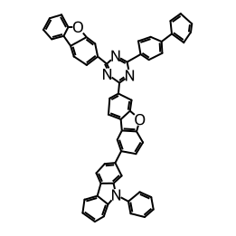 c1ccc(-c2ccc(-c3nc(-c4ccc5c(c4)oc4ccccc45)nc(-c4ccc5c(c4)oc4ccc(-c6ccc7c8ccccc8n(-c8ccccc8)c7c6)cc45)n3)cc2)cc1